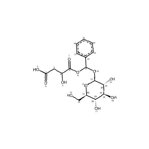 O=C(O)CC(O)C(=O)OC(OC1O[C@H](CO)[C@@H](O)[C@H](O)[C@H]1O)c1ccccc1